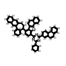 c1ccc(-c2nc(-c3ccc4c(ccc5ccccc54)c3)nc(-c3ccc(C4CCc5cc6ccccc6cc5-c5ccccc54)c4c3oc3c5ccccc5ccc34)n2)cc1